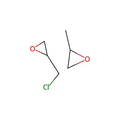 CC1CO1.ClCC1CO1